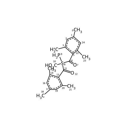 Cc1cc(C)c(C(=O)S(P)(C(=O)O)C(=O)c2c(C)cc(C)cc2C)c(C)c1